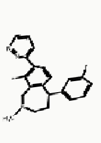 CN1CCC(c2cccc(F)c2)c2ccc(-c3cccnn3)c(F)c2C1